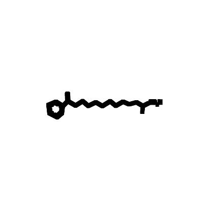 CC(CCCCCCCCCCC(=O)c1ccccc1)C(=O)O